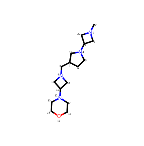 CN1CC(N2CCC(CN3CC(N4CCOCC4)C3)C2)C1